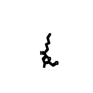 CCCCCNc1cc(C)c(C=O)o1